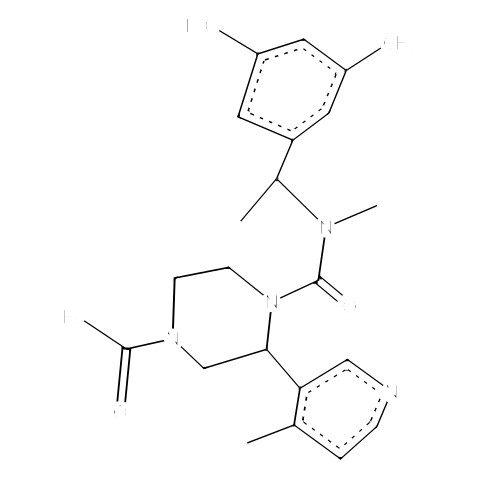 CCC(=O)N1CCN(C(=O)N(C)C(C)c2cc(C(F)(F)F)cc(C(F)(F)F)c2)C(c2cnccc2C)C1